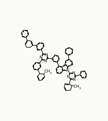 CC1CC=CC=C1c1nc(-c2ccccc2)nc(-n2c3ccc(-c4ccccc4)cc3c3c(-c4cccc(-c5nc(-c6cccc(C7=CC(c8ccccc8)=CCC7)c6)nc(-c6cccc(C7C=CC=CC7C)c6)n5)c4)cccc32)n1